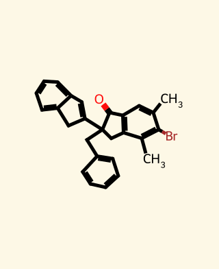 Cc1cc2c(c(C)c1Br)CC(Cc1ccccc1)(C1=Cc3ccccc3C1)C2=O